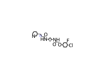 O=C(/C=C/c1cccnc1)NC12CC(NC(=O)COc3ccc(Cl)c(F)c3)(C1)C2